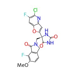 COc1ccc2c(c1F)C(=O)N(C[C@@]1(c3cc4nc(Cl)c(F)cc4o3)NC(=O)NC1=O)C2